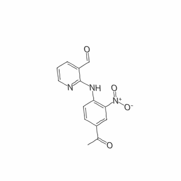 CC(=O)c1ccc(Nc2ncccc2C=O)c([N+](=O)[O-])c1